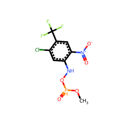 CO[PH](=O)ONc1cc(Cl)c(C(F)(F)F)cc1[N+](=O)[O-]